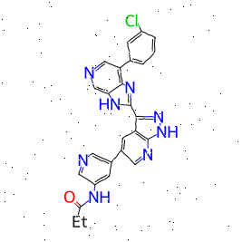 CCC(=O)Nc1cncc(-c2cnc3[nH]nc(-c4nc5c(-c6cccc(Cl)c6)cncc5[nH]4)c3c2)c1